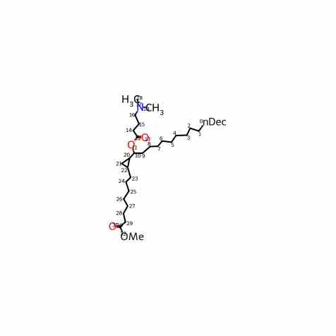 CCCCCCCCCCCCCCCCCCCC(OC(=O)CCCN(C)C)C1CC1CCCCCCCC(=O)OC